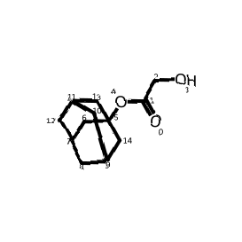 O=C(CO)OC12CC3CC(CC(C3)C1)C2